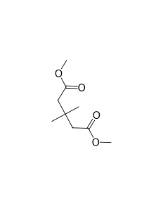 COC(=O)CC(C)(C)CC(=O)OC